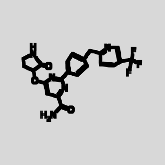 NC(=O)c1cc(OC2CCNC2=O)nc(-c2ccc(Cc3ccc(C(F)(F)F)cn3)cc2)n1